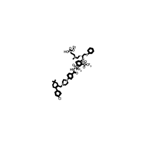 CCOP(=O)(O)CCN(C)CC[C@H](CSc1ccccc1)Nc1ccc([SH](=O)(P)NC(=O)c2ccc(N3CCN(CC4=C(c5ccc(Cl)cc5)CCC(C)(C)C4)CC3)cc2)cc1S(=O)(=O)C(F)(F)F